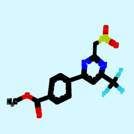 COC(=O)c1ccc(-c2cc(C(F)(F)F)nc(C[SH](=O)=O)n2)cc1